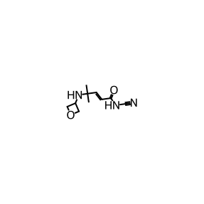 CC(C)(C=CC(=O)NC#N)NC1COC1